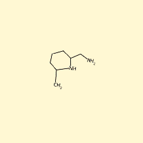 CC1CCCC(CN)N1